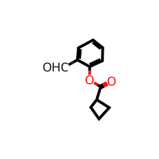 O=Cc1ccccc1OC(=O)C1CCC1